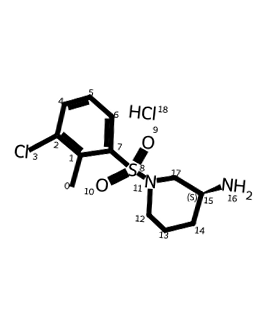 Cc1c(Cl)cccc1S(=O)(=O)N1CCC[C@H](N)C1.Cl